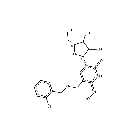 O=c1[nH]/c(=N/O)c(COCc2ccccc2Cl)cn1[C@@H]1O[C@H](CO)C(O)C1O